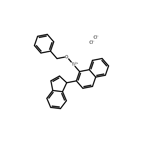 C1=CC(c2ccc3ccccc3[c]2[Ti+2][O]Cc2ccccc2)c2ccccc21.[Cl-].[Cl-]